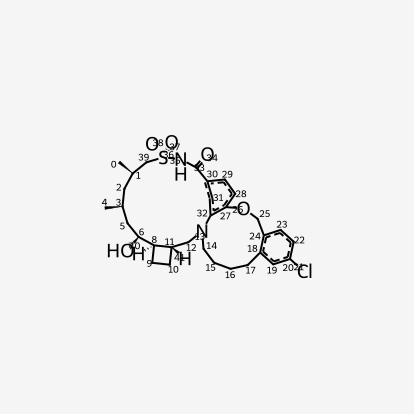 C[C@@H]1C[C@H](C)C[C@H](O)[C@@H]2CC[C@H]2CN2CCCCc3cc(Cl)ccc3COc3ccc(cc32)C(=O)NS(=O)(=O)C1